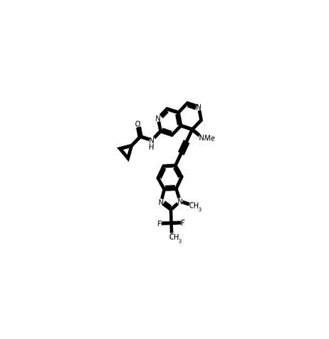 CNC1(C#Cc2ccc3nc(C(C)(F)F)n(C)c3c2)CN=Cc2cnc(NC(=O)C3CC3)cc21